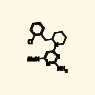 CNc1cc(N2CCCCC2Cc2ccccc2Cl)nc(N)n1